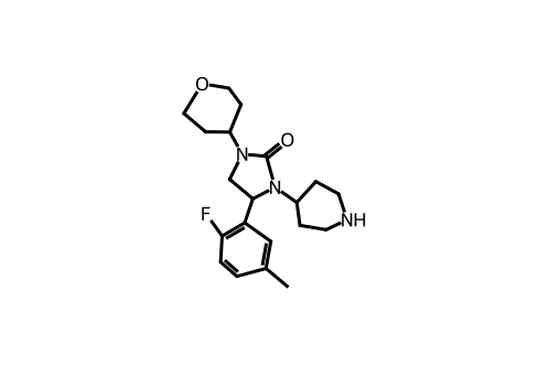 Cc1ccc(F)c(C2CN(C3CCOCC3)C(=O)N2C2CCNCC2)c1